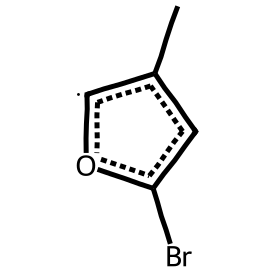 Cc1[c]oc(Br)c1